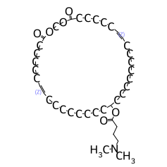 CN(C)CCCC(=O)OC1CCCCCCCC/C=C\CCCCCC(=O)OCOC(=O)CCCCC/C=C\CCCCCCCC1